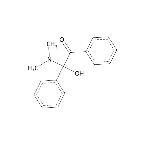 CN(C)C(O)(C(=O)c1ccccc1)c1ccccc1